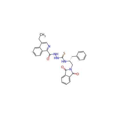 CCc1cnc(C(=O)NNC(=S)N[C@H](Cc2ccccc2)CN2C(=O)c3ccccc3C2=O)c2cc[c]cc12